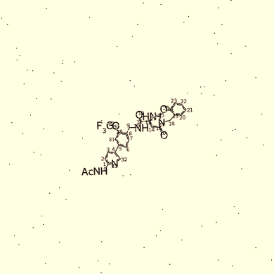 CC(=O)Nc1ccc(-c2ccc(CNC(=O)c3cc(=O)n(Cc4ccccc4)c(=O)[nH]3)c(OC(F)(F)F)c2)cn1